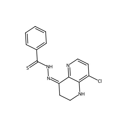 S=C(N/N=C1/CCNc2c(Cl)ccnc21)c1ccccc1